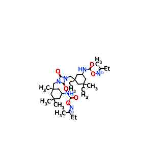 CC/C(C)=N/OC(=O)NC1CC(C)(C)CC(C)(CN2C(=O)N(CC3(C)CC(NC(=O)O/N=C(\C)CC)CC(C)(C)C3)C2=O)C1